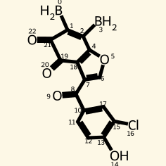 BC1=C(B)c2occ(C(=O)c3ccc(O)c(Cl)c3)c2C(=O)C1=O